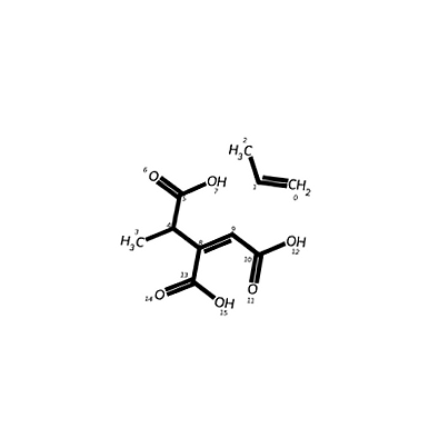 C=CC.CC(C(=O)O)C(=CC(=O)O)C(=O)O